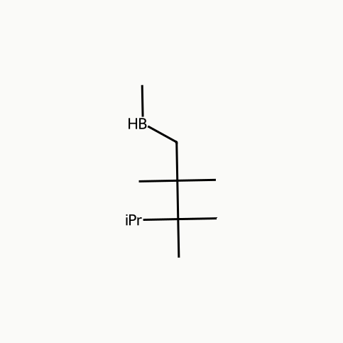 CBCC(C)(C)C(C)(C)C(C)C